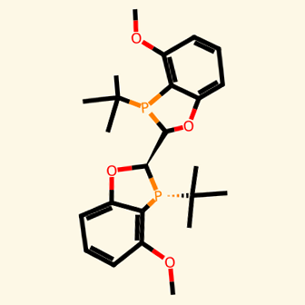 COc1cccc2c1P(C(C)(C)C)C([C@@H]1Oc3cccc(OC)c3[P@@]1C(C)(C)C)O2